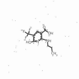 CCCNc1nc(O)c(C(F)(F)F)cc1C(=O)O